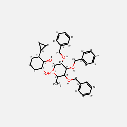 C[C@H]1O[C@H](O[C@H]2[C@H](O)CCC[C@H]2C2CC2)[C@H](OCc2ccccc2)[C@@H](OCc2ccccc2)[C@H]1OCc1ccccc1